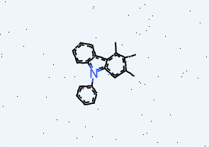 Cc1cc2c(c(C)c1C)c1ccccc1n2-c1ccccc1